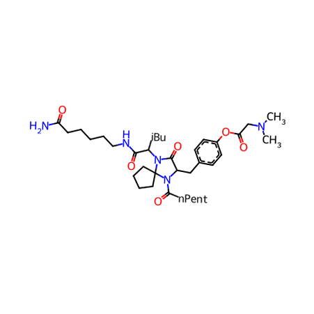 CCCCCC(=O)N1C(Cc2ccc(OC(=O)CN(C)C)cc2)C(=O)N(C(C(=O)NCCCCCC(N)=O)C(C)CC)C12CCCC2